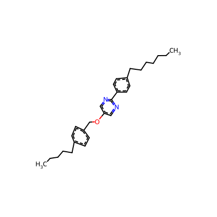 CCCCCCCc1ccc(-c2ncc(OCc3ccc(CCCCC)cc3)cn2)cc1